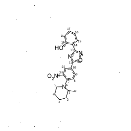 CC1CCCCN1c1ccc(-c2nc(-c3ccccc3O)no2)cc1[N+](=O)[O-]